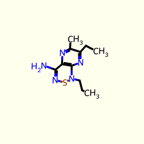 CCCN1SN=C(N)c2nc(C)c(CC)nc21